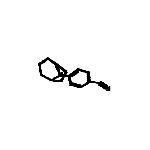 N#Cc1ccc(N2C3CCCC2CC3)cc1